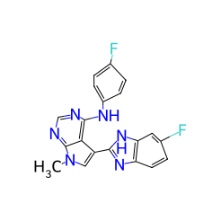 Cn1cc(-c2nc3ccc(F)cc3[nH]2)c2c(Nc3ccc(F)cc3)ncnc21